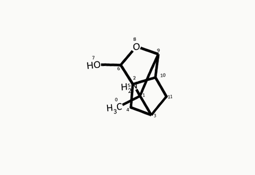 CC1(N)C2CC3C(O)OC1C3C2